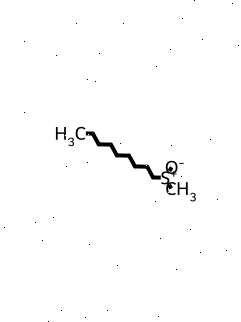 CCCCCCCCC[S+](C)[O-]